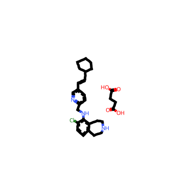 Clc1ccc2c(c1NCc1ccc(C=CC3CCCCC3)cn1)CCNCC2.O=C(O)CCC(=O)O